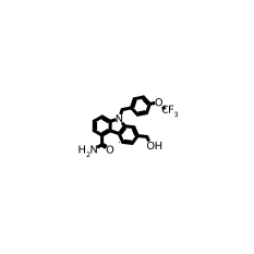 NC(=O)c1cccc2c1c1[c]cc(CO)cc1n2Cc1ccc(OC(F)(F)F)cc1